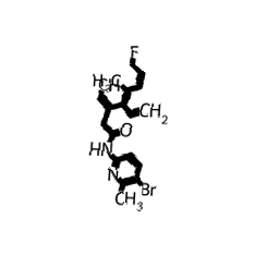 C=CC(/C(=C\C)CC(=O)Nc1ccc(Br)c(C)n1)=C(C)\C=C/CF